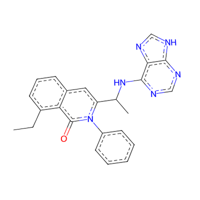 CCc1cccc2cc(C(C)Nc3ncnc4[nH]cnc34)n(-c3ccccc3)c(=O)c12